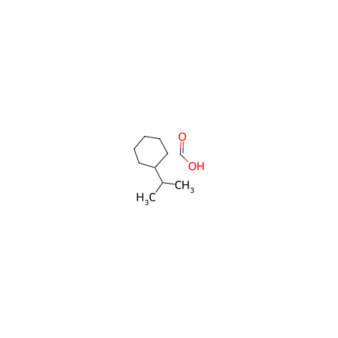 CC(C)C1CCCCC1.O=CO